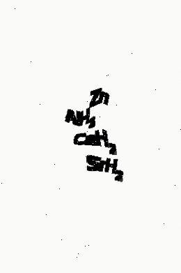 [AlH3].[CaH2].[SrH2].[Zn]